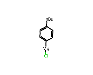 CCCCc1cc[c]([Mg][Cl])cc1